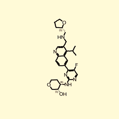 CC(C)c1c(CNC[C@@H]2CCCO2)cnc2ccc(-c3nc(N[C@@H]4CCOC[C@H]4O)ncc3F)cc12